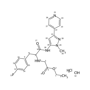 CCOC(=O)CNC(Cc1ccc(F)cc1)C(=O)Nc1cc(-c2ccncc2)nn1C.Cl.Cl